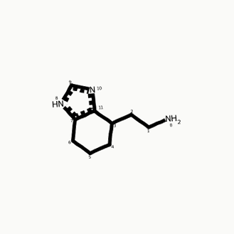 NCCC1CCCc2[nH]cnc21